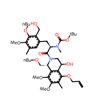 C=CCOc1c(C)c(OC)c(OC)c2c1C(O)CN(C(=O)[C@@H](Cc1cc(C)c(OC)c(OCCCC)c1CO)N(C)C(=O)OC(C)(C)C)[C@H]2COCCCC